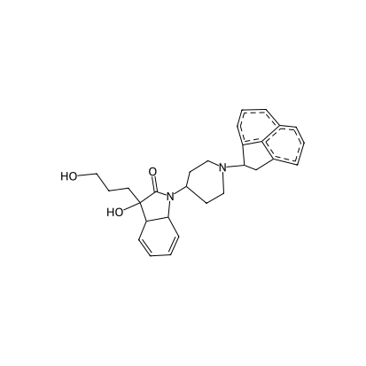 O=C1N(C2CCN(C3Cc4cccc5cccc3c45)CC2)C2C=CC=CC2C1(O)CCCO